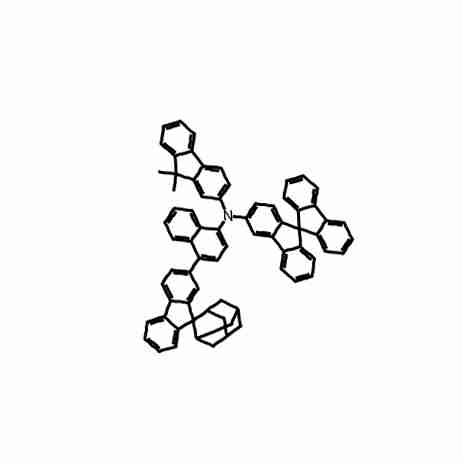 CC1(C)c2ccccc2-c2ccc(N(c3ccc4c(c3)-c3ccccc3C43c4ccccc4-c4ccccc43)c3ccc(-c4ccc5c(c4)C4(c6ccccc6-5)C5CC6CC(C5)CC4C6)c4ccccc34)cc21